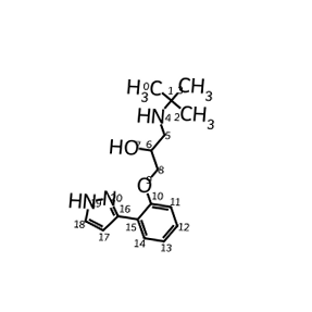 CC(C)(C)NCC(O)COc1ccccc1-c1cc[nH]n1